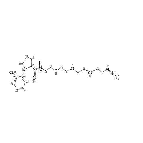 [N-]=[N+]=NCCOCCOCCOCCNC(=O)C1CCCC1c1ccccc1Cl